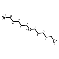 BrCCCCCOCCCCCBr